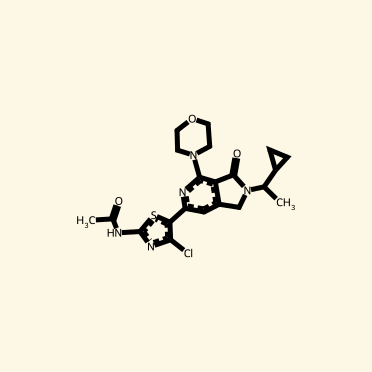 CC(=O)Nc1nc(Cl)c(-c2cc3c(c(N4CCOCC4)n2)C(=O)N(C(C)C2CC2)C3)s1